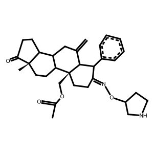 C=C1CC2C(CC[C@]3(C)C(=O)CCC23)[C@@]2(COC(C)=O)CCC(=NOC3CCNC3)C(c3ccccc3)C12